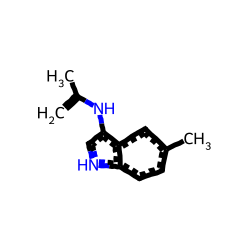 C=C(C)Nc1c[nH]c2ccc(C)cc12